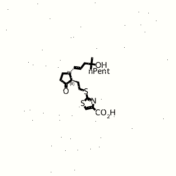 CCCCCC(C)(O)CC=C[C@H]1CCC(=O)[C@@H]1CCSc1nc(C(=O)O)cs1